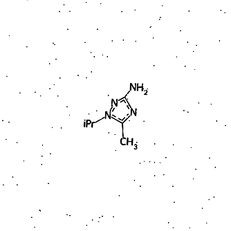 Cc1nc(N)nn1C(C)C